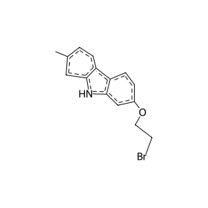 Cc1ccc2c(c1)[nH]c1cc(OCCBr)ccc12